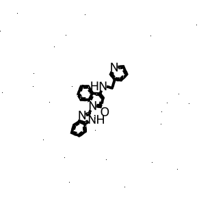 O=c1cc(NCc2cccnc2)c2ccccc2n1-c1nc2ccccc2[nH]1